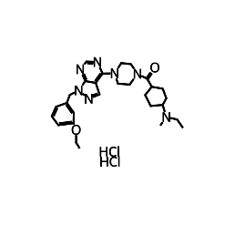 CCOc1cccc(Cn2ncc3c(N4CCN(C(=O)C5CCC(N(C)CC)CC5)CC4)ncnc32)c1.Cl.Cl